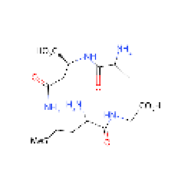 CC(N)C(=O)N[C@@H](CC(N)=O)C(=O)O.CSCC[C@H](N)C(=O)NCC(=O)O